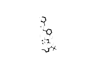 Cc1ccc(C(NC2=NS(=O)(=O)N=C2Nc2cccc(C(=O)N(C)Cc3cccnc3)c2O)C(C)(C)C)o1